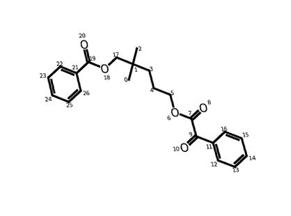 CC(C)(CCCOC(=O)C(=O)c1ccccc1)COC(=O)c1ccccc1